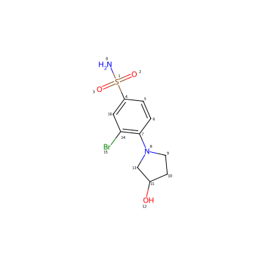 NS(=O)(=O)c1ccc(N2CCC(O)C2)c(Br)c1